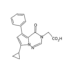 O=C(O)Cn1cnn2c(C3CC3)cc(-c3ccccc3)c2c1=O